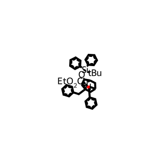 CCOC(=O)N1C2CC3CC1[C@H](O[Si](c1ccccc1)(c1ccccc1)C(C)(C)C)C2N(Cc1ccccc1)C3c1ccccc1